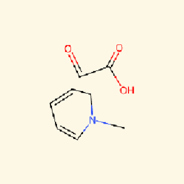 CN1C=CC=CC1.O=CC(=O)O